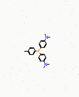 Cc1ccc(P(c2ccc(N(C)C)cc2)c2ccc(N(C)C)cc2)cc1